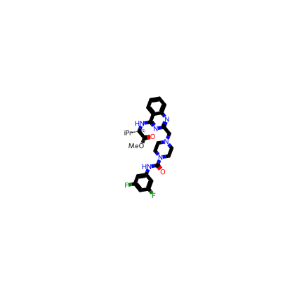 COC(=O)[C@@H](Nc1nc(CN2CCN(C(=O)Nc3cc(F)cc(F)c3)CC2)nc2ccccc12)C(C)C